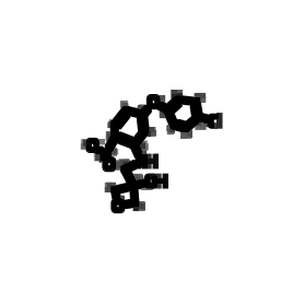 O=[N+]([O-])c1ccc(Oc2ccc(Cl)cc2)cc1NCC1(O)COC1